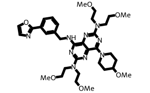 COCCN(CCOC)c1nc(N2CCC(OC)CC2)c2nc(N(CCOC)CCOC)nc(NCc3cccc(-c4ncco4)c3)c2n1